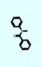 O=C(c1ccccc1)N(I)c1ccccc1